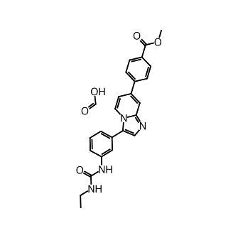 CCNC(=O)Nc1cccc(-c2cnc3cc(-c4ccc(C(=O)OC)cc4)ccn23)c1.O=CO